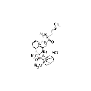 COC(=O)C12CC3CC(CC(N)(C3)C1C(=O)[C@H](CC1C=CC=CC1)NC(=O)CNC(=O)[C@H](N)CCSC)C2.Cl